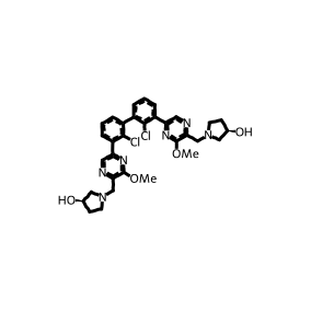 COc1nc(-c2cccc(-c3cccc(-c4cnc(CN5CC[C@@H](O)C5)c(OC)n4)c3Cl)c2Cl)cnc1CN1CC[C@@H](O)C1